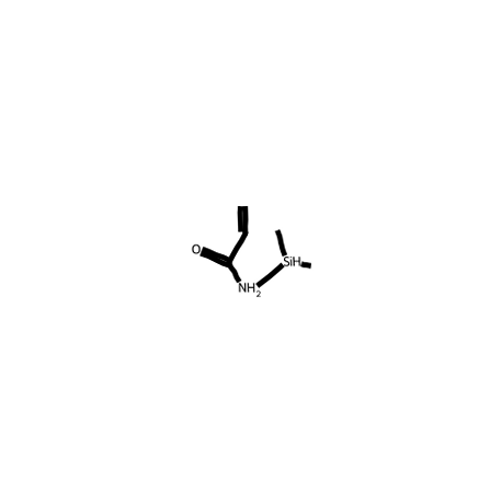 C=CC(N)=O.C[SiH](C)C